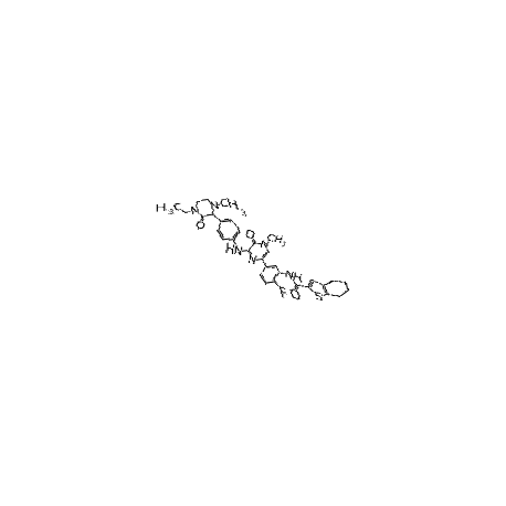 CCN1CCN(C)C(c2ccc(Nc3nc(-c4ccc(F)c(NC(=O)c5cc6c(s5)CCCC6)c4)cn(C)c3=O)cc2)C1=O